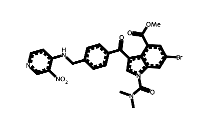 COC(=O)c1cc(Br)cc2c1c(C(=O)c1ccc(CNc3ccncc3[N+](=O)[O-])cc1)cn2C(=O)N(C)C